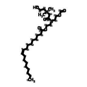 CCCCCCCC/C=C\CCCCCCCC(=O)OCCN(CCOC=O)C(=O)C[N+](C)(C)CCO